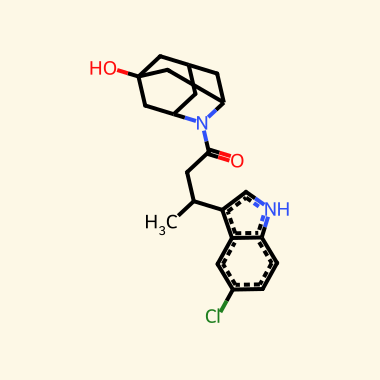 CC(CC(=O)N1C2CC3CC1CC(O)(C3)C2)c1c[nH]c2ccc(Cl)cc12